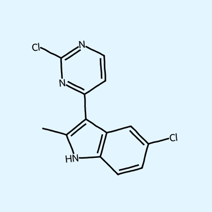 Cc1[nH]c2ccc(Cl)cc2c1-c1ccnc(Cl)n1